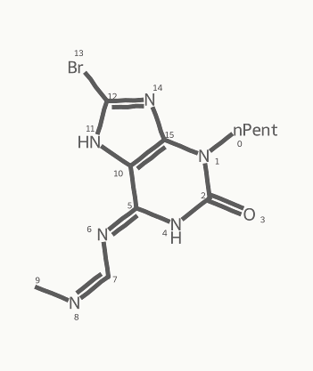 CCCCCn1c(=O)[nH]/c(=N\C=N/C)c2[nH]c(Br)nc21